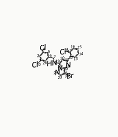 Clc1cc(Cl)cc(CNc2cc(-c3ccccc3Cl)nc3c(Br)cnn23)c1